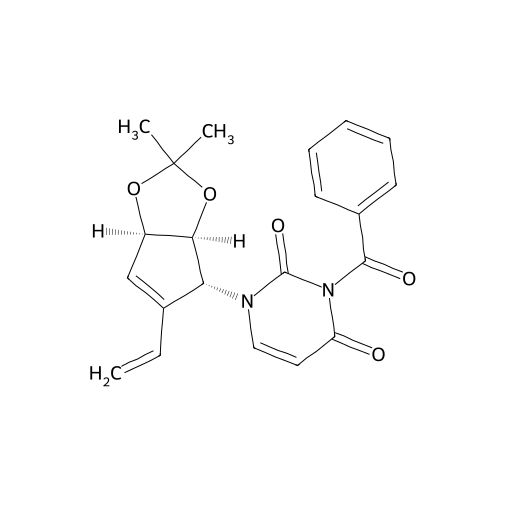 C=CC1=C[C@H]2OC(C)(C)O[C@H]2[C@@H]1n1ccc(=O)n(C(=O)c2ccccc2)c1=O